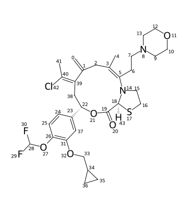 C=C1CC(C)=C(CCN2CCOCC2)N2CCS[C@H]2C(=O)O[C@H](c2ccc(OC(F)F)c(OCC3CC3)c2)C/C1=C(/C)Cl